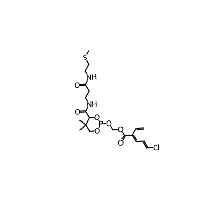 C=C/C(=C\C=C\Cl)C(=O)OCOP1OCC(C)(C)C(C(=O)NCCC(=O)NCCSC)O1